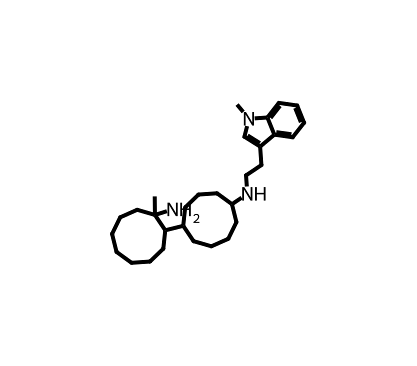 Cn1cc(CCNC2CCCCC(C3CCCCCCCC3(C)N)CCC2)c2ccccc21